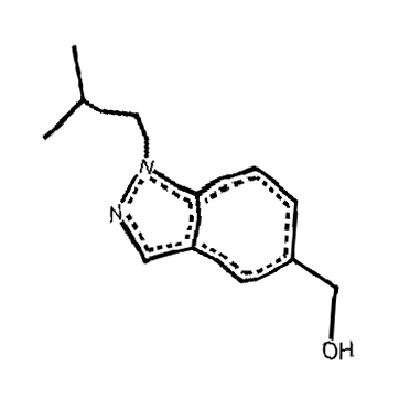 CC(C)Cn1ncc2cc(CO)ccc21